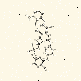 COc1ccnc(CNC(=O)/C(=C/NCc2ccc(Cn3cc(F)ccc3=O)cc2)C(=N)C2CN(CC(F)(F)F)C2)c1F